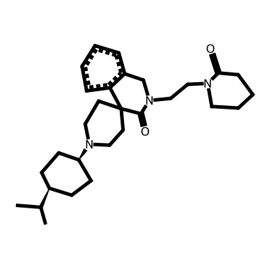 CC(C)[C@H]1CC[C@@H](N2CCC3(CC2)C(=O)N(CCN2CCCCC2=O)Cc2ccccc23)CC1